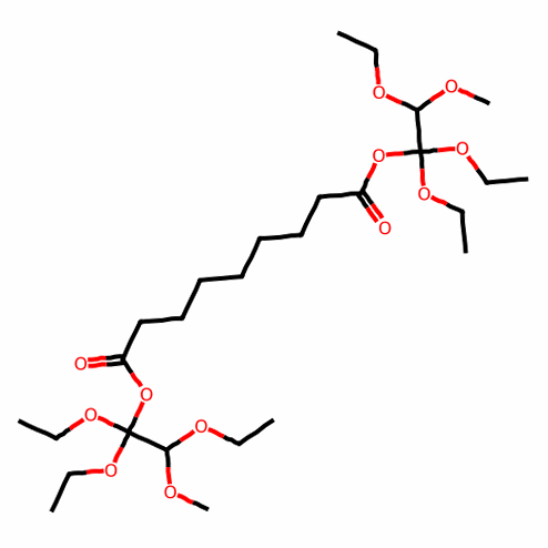 CCOC(OC)C(OCC)(OCC)OC(=O)CCCCCCCC(=O)OC(OCC)(OCC)C(OC)OCC